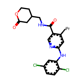 CC(C)c1cc(Nc2cc(Cl)ccc2Cl)ncc1C(=O)NCC1CCOC(=O)C1